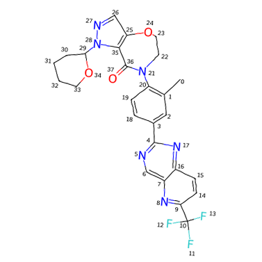 Cc1cc(-c2ncc3nc(C(F)(F)F)ccc3n2)ccc1N1CCOc2cnn(C3CCCCO3)c2C1=O